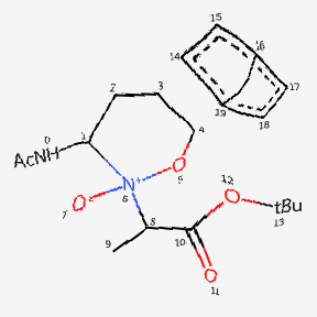 CC(=O)NC1CCCO[N+]1([O-])C(C)C(=O)OC(C)(C)C.c1cc2ccc1-2